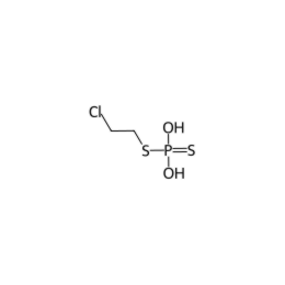 OP(O)(=S)SCCCl